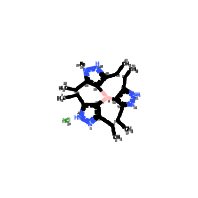 CCc1n[nH]c(CC)c1B(c1c(CC)n[nH]c1CC)c1c(CC)n[nH]c1CC.Cl.[Fe]